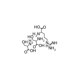 N=C(N)NCCCC(N)C(=O)O.NC(CO)C(=O)O.NC(CO)C(=O)O